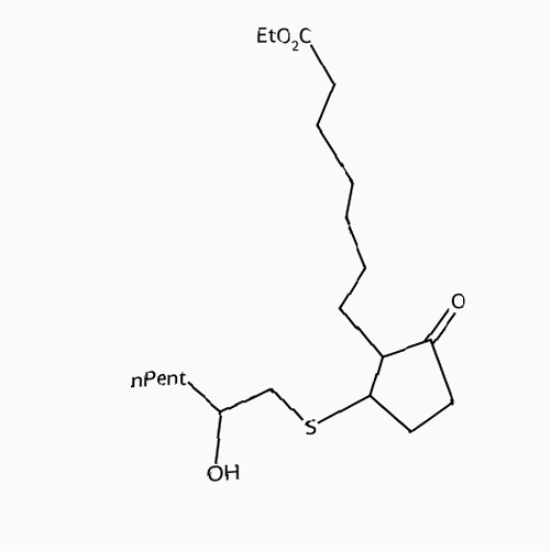 CCCCCC(O)CSC1CCC(=O)C1CCCCCCC(=O)OCC